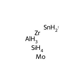 [AlH3].[Mo].[SiH4].[SnH2].[Zr]